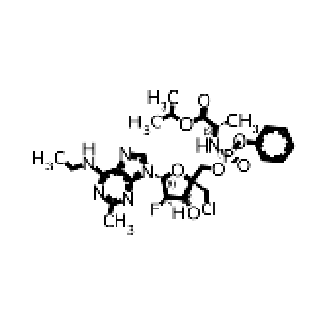 CCNc1nc(C)nc2c1ncn2[C@@H]1O[C@](CCl)(CO[P@@](=O)(N[C@@H](C)C(=O)OC(C)C)Oc2ccccc2)[C@@H](O)[C@H]1F